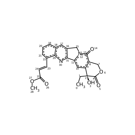 CC[C@@]1(O)C(=O)OCc2c1cc1n(c2=O)Cc2cc3cccc(C=CC(=O)OC)c3nc2-1